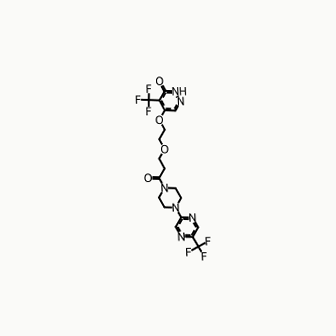 O=C(CCOCCOc1cn[nH]c(=O)c1C(F)(F)F)N1CCN(c2cnc(C(F)(F)F)cn2)CC1